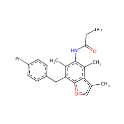 Cc1c(NC(=O)CC(C)(C)C)c(C)c2c(C)coc2c1Cc1ccc(C(C)C)cc1